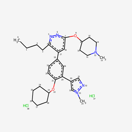 CCCCc1nnc(OC2CCN(C)CC2)cc1-c1ccc(OC2CCCCC2)c(-c2cnn(C)c2)c1.Cl.Cl